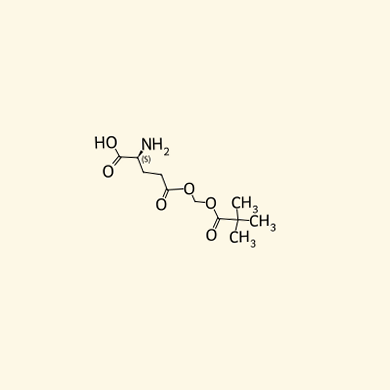 CC(C)(C)C(=O)OCOC(=O)CC[C@H](N)C(=O)O